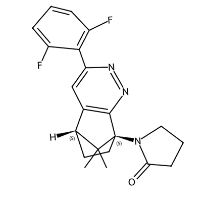 CC1(C)[C@@H]2CC[C@@]1(N1CCCC1=O)c1nnc(-c3c(F)cccc3F)cc12